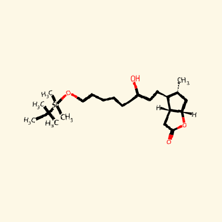 C[C@@H]1C[C@@H]2OC(=O)C[C@@H]2[C@H]1CCC(O)CCCCCO[Si](C)(C)C(C)(C)C